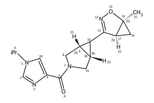 CC(C)n1cnc(C(=O)N2C[C@@H]3C(C4=NO[C@@]5(C)C[C@@H]45)[C@@H]3C2)c1